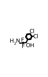 NCC(F)(F)C(O)c1ccc(Cl)c(Cl)c1